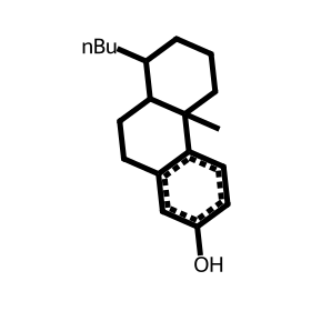 CCCCC1CCCC2(C)c3ccc(O)cc3CCC12